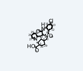 O=C(O)C1CCC(CN2C(=O)c3ccc(Cl)cc3NC(=O)C2Cc2ccccn2)CC1